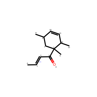 C/C=C/C(=O)C1(C)CC(C)C=CC1C